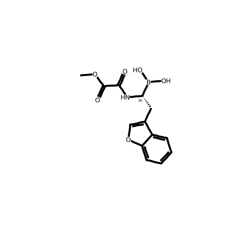 COC(=O)C(=O)N[C@@H](Cc1coc2ccccc12)B(O)O